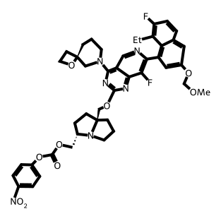 CCc1c(F)ccc2cc(OCOC)cc(-c3ncc4c(N5CCC[C@@]6(CCO6)C5)nc(OC[C@@]56CCCN5[C@H](COC(=O)Oc5ccc([N+](=O)[O-])cc5)CC6)nc4c3F)c12